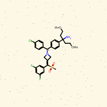 COCCC(N)(CCOC)c1ccc([C@H](c2ccc(Cl)cc2)N2CC(=C(c3cc(F)cc(F)c3)S(C)(=O)=O)C2)cc1